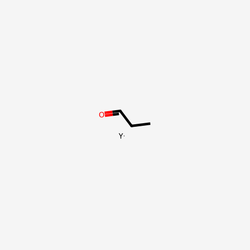 CCC=O.[Y]